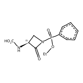 CCOP(=O)(c1ccccc1)N1C[C@H](NC(=O)O)C1=O